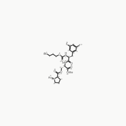 CCC(C)CCCOC(=O)N[C@@H](Cc1cc(F)cc(F)c1)C(=O)N[C@@H](COC(=O)C1CCCN1C(C)=O)C(=O)OC